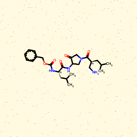 CC(C)C[C@@H](CN)C(=O)N1CC(=O)C(NC(=O)[C@H](CC(C)C)NC(=O)OCc2ccccc2)C1